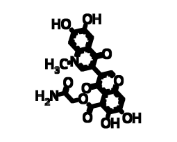 Cn1cc(-c2coc3cc(O)c(O)c(C(=O)OCC(N)=O)c3c2=O)c(=O)c2cc(O)c(O)cc21